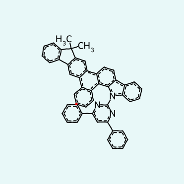 CC1(C)c2ccccc2-c2cc3c4ccccc4c4c(ccc5c6ccccc6n(-c6nc(-c7ccccc7)cc(-c7ccccc7)n6)c54)c3cc21